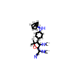 [C-]#[N+]C1=C(c2ccc(NC3C4CC5C(C4)C53)cc2)C(C)(C)O/C1=C(\C#N)[N+]#[C-]